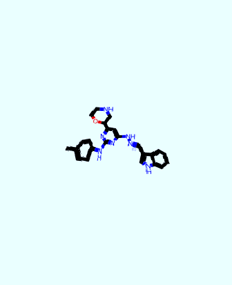 Cc1ccc(Nc2nc(N/N=C/c3c[nH]c4ccccc34)cc(C3CNCCO3)n2)cc1